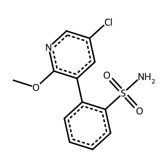 COc1ncc(Cl)cc1-c1ccccc1S(N)(=O)=O